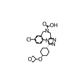 O=C(O)N1Cc2cc(Cl)ccc2-n2c(nnc2[C@H]2CC[C@H](OC3COC3)CC2)C1